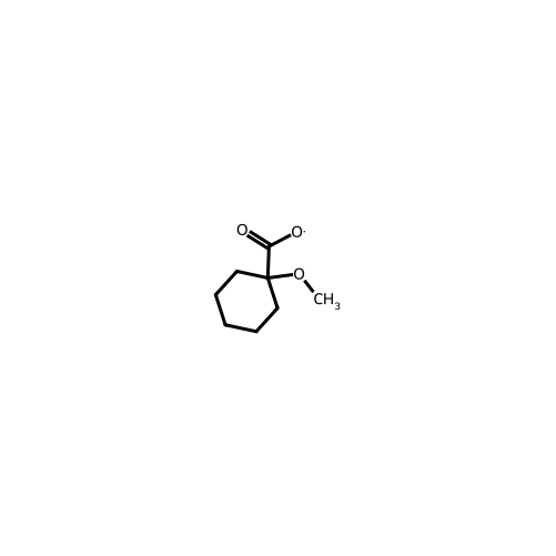 COC1(C([O])=O)CCCCC1